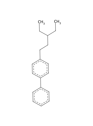 CCC(CC)CCc1ccc(-c2ccccc2)cc1